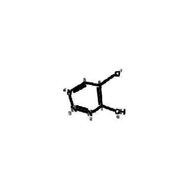 Oc1nnn[c]c1Cl